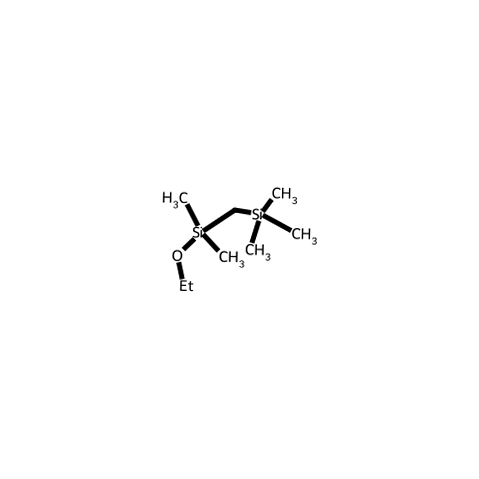 CCO[Si](C)(C)C[Si](C)(C)C